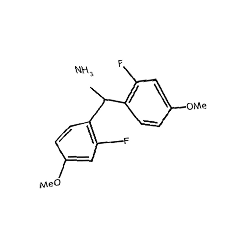 COc1ccc(C(C)c2ccc(OC)cc2F)c(F)c1.N